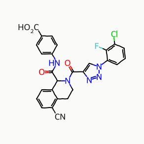 N#Cc1cccc2c1CCN(C(=O)c1cn(-c3cccc(Cl)c3F)nn1)C2C(=O)Nc1ccc(C(=O)O)cc1